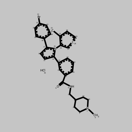 CN1CCC(CNC(=O)c2cccc(-c3ccc(-c4ccc(Br)cc4)n3-c3ccccc3C(F)(F)F)c2)CC1.Cl